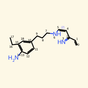 C=CC(=N)/C=C\NCCCc1ccc(N)c(CC)c1